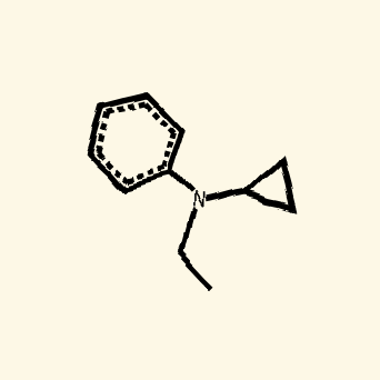 CCN(c1ccccc1)C1CC1